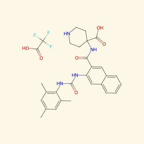 Cc1cc(C)c(NC(=O)Nc2cc3ccccc3cc2C(=O)NC2(C(=O)O)CCNCC2)c(C)c1.O=C(O)C(F)(F)F